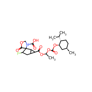 CC(OC(=O)O[C@@H]1C[C@H](C)CC[C@H]1C(C)C)OC(=O)C1C2CC(F)C3(C(=O)OCN3C(=O)O)C21